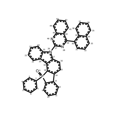 O=P1(c2ccccc2)c2ccccc2-c2ccc3c(c21)c1ccccc1n3-c1nc(-c2cccc3ccccc23)c2ccccc2n1